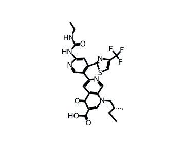 CCNC(=O)Nc1cc(-c2nc(C(F)(F)F)cs2)c(-c2cc3c(=O)c(C(=O)O)cn(C[C@H](C)CC)c3cn2)cn1